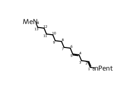 CCCCCC=CCC=CCCCCCCCCNC